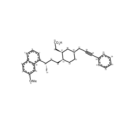 COc1ccc2nccc([C@@H](F)CC[C@@H]3CCN(CC#Cc4ncccn4)C[C@@H]3CC(=O)O)c2c1